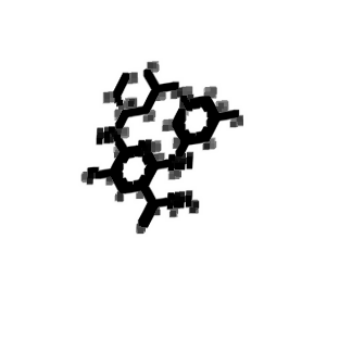 C=C(N)c1cc(F)c(N[C@H](CC)CC(C)C)nc1Nc1cncc(C)c1